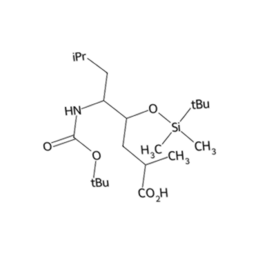 CC(C)CC(NC(=O)OC(C)(C)C)C(CC(C)C(=O)O)O[Si](C)(C)C(C)(C)C